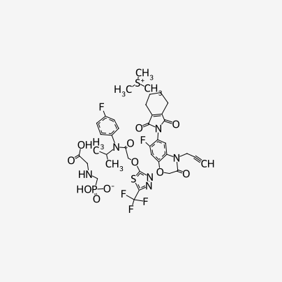 C#CCN1C(=O)COc2cc(F)c(N3C(=O)C4=C(CCCC4)C3=O)cc21.CC(C)N(C(=O)COc1nnc(C(F)(F)F)s1)c1ccc(F)cc1.C[S+](C)C.O=C(O)CNCP(=O)([O-])O